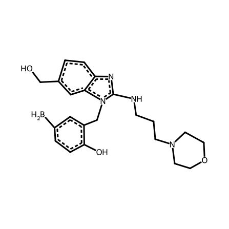 Bc1ccc(O)c(Cn2c(NCCCN3CCOCC3)nc3ccc(CO)cc32)c1